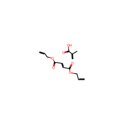 C=C(C)C(=O)O.C=CCOC(=O)C=CC(=O)OCC=C